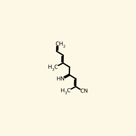 C=C/C=C(\C)CC(=N)/C=C(\C)C#N